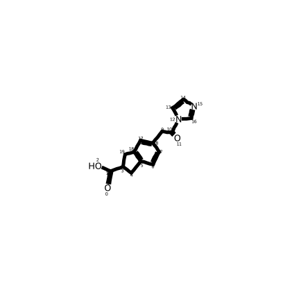 O=C(O)C1Cc2ccc(CC(=O)n3ccnc3)cc2C1